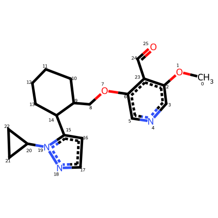 COc1cncc(OCC2CCCCC2c2ccnn2C2CC2)c1C=O